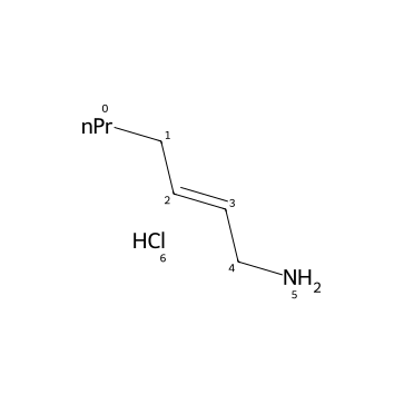 CCCCC=CCN.Cl